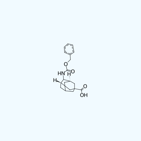 O=C(NC1[C@@H]2CC3C[C@H]1CC(C(=O)O)(C3)C2)OCc1ccccc1